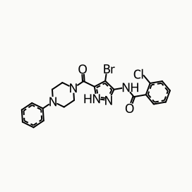 O=C(Nc1n[nH]c(C(=O)N2CCN(c3ccccc3)CC2)c1Br)c1ccccc1Cl